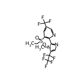 CCS(=O)(=O)c1cc(C(F)(F)F)cnc1-c1ncc(C(F)(F)C(F)(F)F)n1C